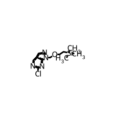 C[Si](C)(C)CCOCn1ncc2cnc(Cl)nc21